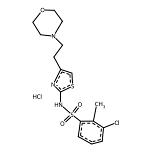 Cc1c(Cl)cccc1S(=O)(=O)Nc1nc(CCN2CCOCC2)cs1.Cl